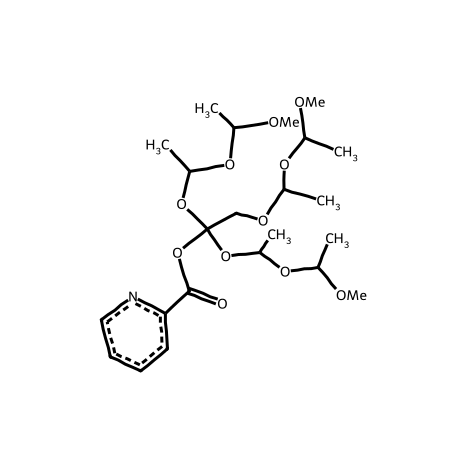 COC(C)OC(C)OCC(OC(=O)c1ccccn1)(OC(C)OC(C)OC)OC(C)OC(C)OC